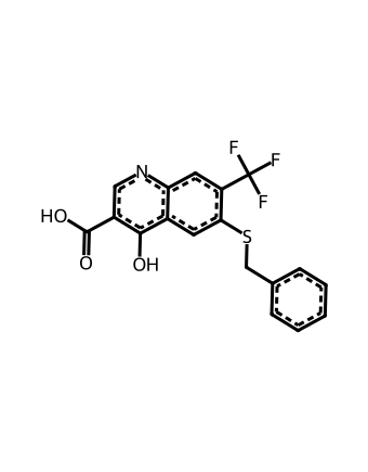 O=C(O)c1cnc2cc(C(F)(F)F)c(SCc3ccccc3)cc2c1O